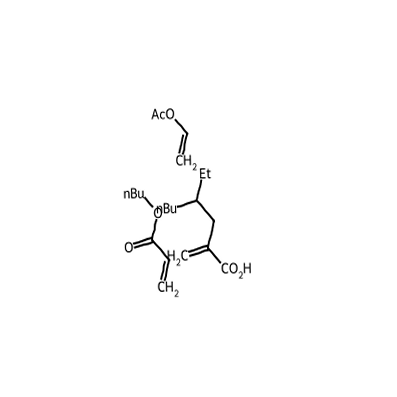 C=C(CC(CC)CCCC)C(=O)O.C=CC(=O)OCCCC.C=COC(C)=O